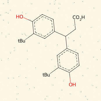 CC(C)(C)c1cc(C(CC(=O)O)c2ccc(O)c(C(C)(C)C)c2)ccc1O